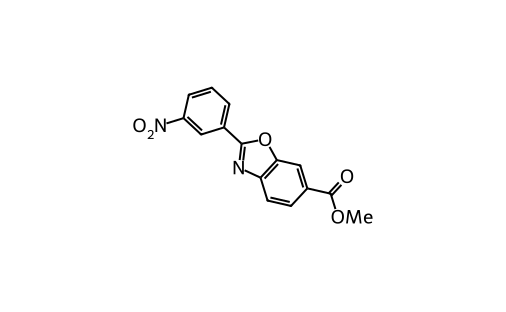 COC(=O)c1ccc2nc(-c3cccc([N+](=O)[O-])c3)oc2c1